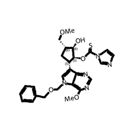 COC[C@H]1C[C@@H](c2cn(COCc3ccccc3)c3c(OC)ncnc23)[C@H](OC(=S)n2ccnc2)[C@@H]1O